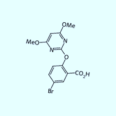 COc1cc(OC)nc(Oc2ccc(Br)cc2C(=O)O)n1